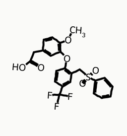 COc1ccc(CC(=O)O)cc1Oc1ccc(C(F)(F)F)cc1CS(=O)(=O)c1ccccc1